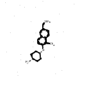 CNCc1ccc2c(C(F)(F)F)c(O[C@H]3CC[C@@H](C(F)(F)F)CC3)ccc2c1